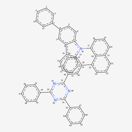 c1ccc(-c2ccc3c(c2)c2ccccc2n3-c2cccc3cccc(-c4cccc(-c5nc(-c6ccccc6)nc(-c6ccccc6)n5)c4)c23)cc1